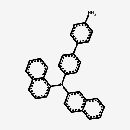 Nc1ccc(-c2ccc(N(c3ccc4ccccc4c3)c3cccc4ccccc34)cc2)cc1